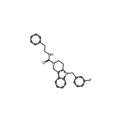 O=C(NCCc1ccccc1)N1CCc2c(c3ccccc3n2Cc2cccc(F)c2)C1